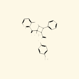 O=C(Oc1ccc(Br)cc1)C1C(c2ccccc2)C2Oc3cccnc3C(=O)C21O